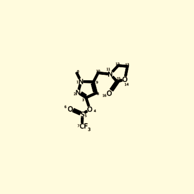 Cn1nc(OS(=O)C(F)(F)F)cc1CN1CCOC1=O